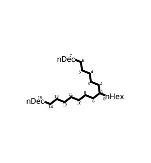 [CH2]CCCCCC(CCCCCCCCCCCCCCC)CCCCCCCCCCCCCCCCC